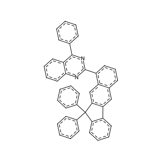 c1ccc(-c2nc(-c3cccc4cc5c(cc34)C(c3ccccc3)(c3ccccc3)c3ccccc3-5)nc3ccccc23)cc1